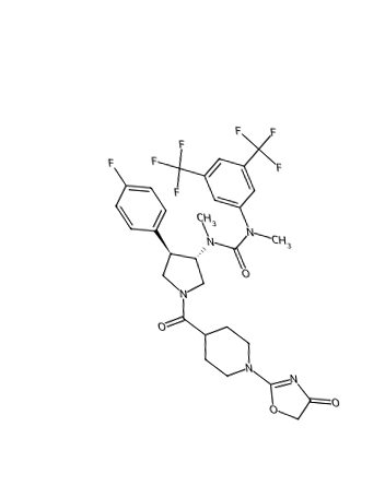 CN(C(=O)N(C)[C@@H]1CN(C(=O)C2CCN(C3=NC(=O)CO3)CC2)C[C@H]1c1ccc(F)cc1)c1cc(C(F)(F)F)cc(C(F)(F)F)c1